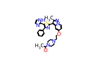 CC(=O)N1CCN(CCOc2ccn3nc(C)c(-c4nc(-c5ccccc5)c(-c5ncc[nH]5)s4)c3c2)CC1